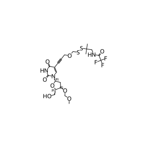 COCO[C@@H]1C[C@H](n2cc(C#CCOCSSC(C)(C)CNC(=O)C(F)(F)F)c(=O)[nH]c2=O)O[C@@H]1CO